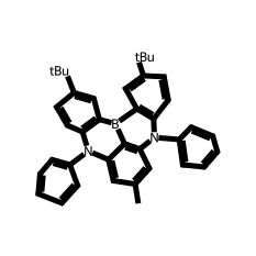 Cc1cc2c3c(c1)N(c1ccccc1)c1ccc(C(C)(C)C)cc1B3c1cc(C(C)(C)C)ccc1N2c1ccccc1